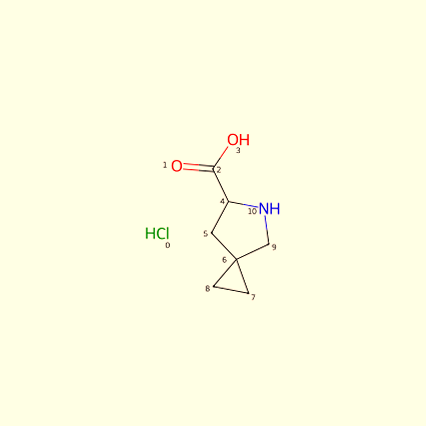 Cl.O=C(O)C1CC2(CC2)CN1